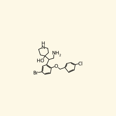 NCC(c1cc(Br)ccc1OCc1ccc(Cl)cc1)C1(O)CCNCC1